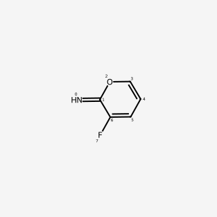 N=c1occcc1F